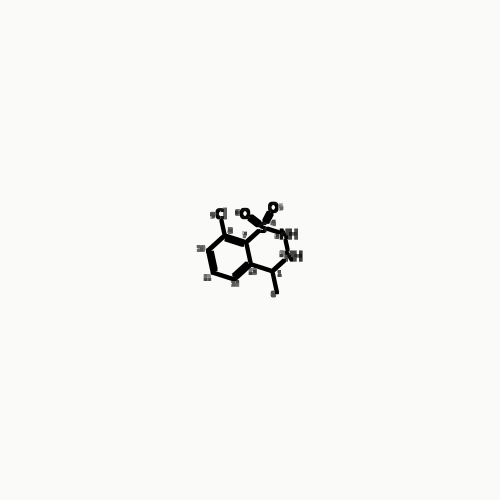 CC1NNS(=O)(=O)c2c(Cl)cccc21